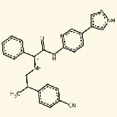 CC(CN[C@H](C(=O)Nc1ccc(-c2cn[nH]c2)cn1)c1ccccc1)c1ccc(C#N)cc1